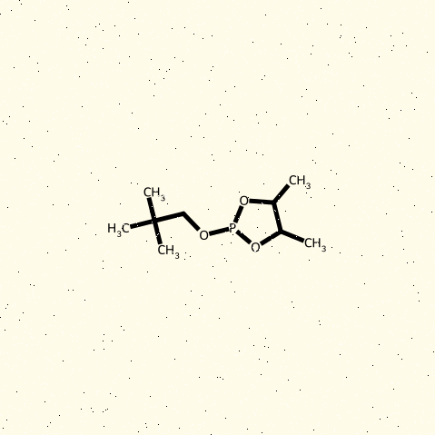 CC1OP(OCC(C)(C)C)OC1C